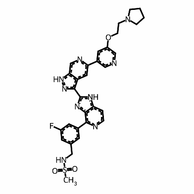 CS(=O)(=O)NCc1cc(F)cc(-c2nccc3[nH]c(-c4n[nH]c5cnc(-c6cncc(OCCN7CCCC7)c6)cc45)nc23)c1